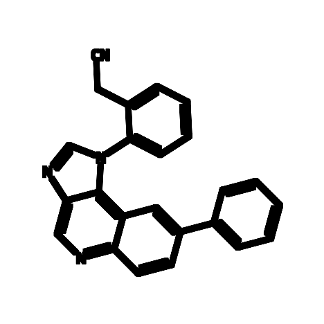 N#CCc1ccccc1-n1cnc2cnc3ccc(-c4ccccc4)cc3c21